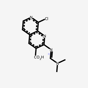 CN(C)/C=N/c1nc2c(Cl)nccc2cc1C(=O)O